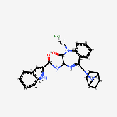 CN1C(=O)C(NC(=O)c2cc3ccccc3[nH]2)N=C(N2CC3CCC(CC3)C2)c2ccccc21.Cl